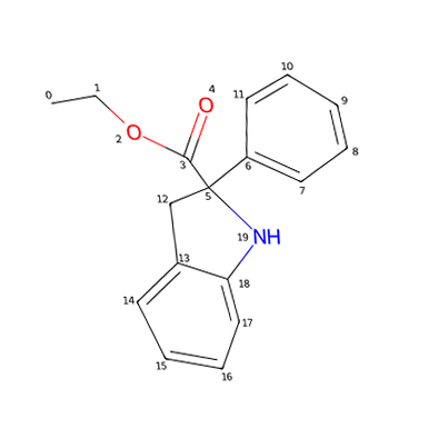 CCOC(=O)C1(c2ccccc2)Cc2ccccc2N1